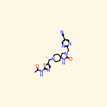 CC(=O)Nc1ncc([C@H](C)N2CCC3(CC2)CN(Cc2ncc(C#N)cn2)C(=O)N3)s1